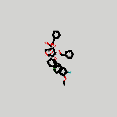 CCOc1ccc(Cc2cc([C@]34OC[C@](C(=O)O)(O3)[C@@H](OCc3ccccc3)[C@H](OCc3ccccc3)[C@H]4OCc3ccccc3)ccc2Cl)cc1F